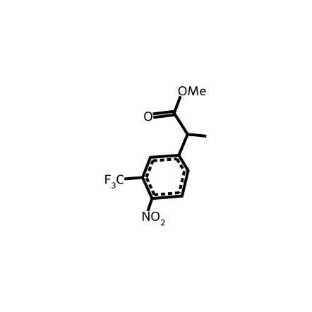 COC(=O)C(C)c1ccc([N+](=O)[O-])c(C(F)(F)F)c1